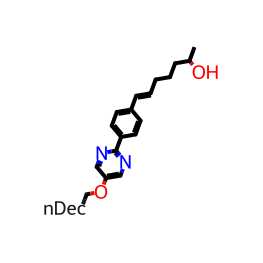 CCCCCCCCCCCOc1cnc(-c2ccc(C=CCCCC(C)O)cc2)nc1